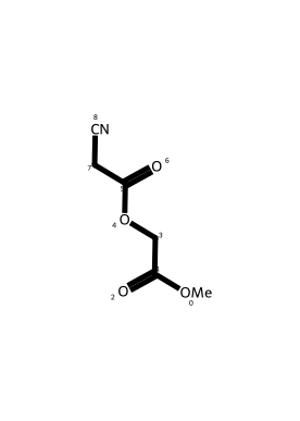 COC(=O)COC(=O)CC#N